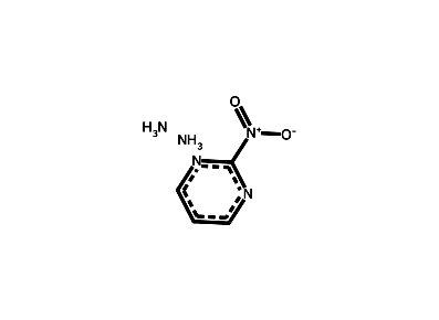 N.N.O=[N+]([O-])c1ncccn1